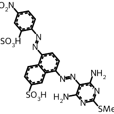 CSc1nc(N)c(/N=N/c2ccc(/N=N/c3ccc([N+](=O)[O-])cc3S(=O)(=O)O)c3ccc(S(=O)(=O)O)cc23)c(N)n1